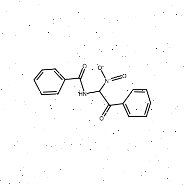 O=C(NC(C(=O)c1ccccc1)[N+](=O)[O-])c1ccccc1